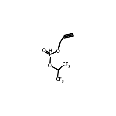 C#CCO[PH](=O)OC(C(F)(F)F)C(F)(F)F